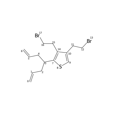 C=CC[C](CC=C)c1scc(CCBr)c1CCBr